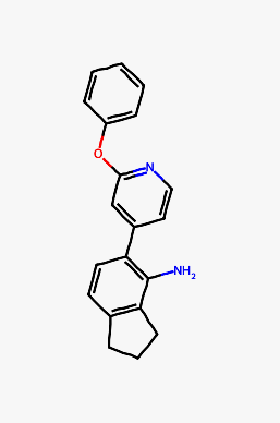 Nc1c(-c2ccnc(Oc3ccccc3)c2)ccc2c1CCC2